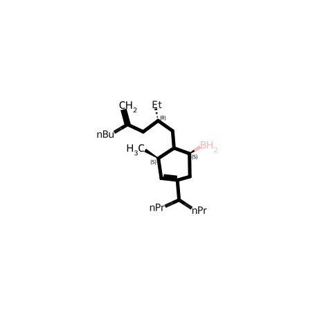 B[C@H]1CC(C(CCC)CCC)=C[C@@H](C)C1C[C@@H](CC)CC(=C)CCCC